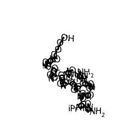 Cc1cn([C@H]2CN(P(=O)(OC[C@@H]3CN(P(=O)(OC[C@@H]4CN(P(=O)(OC[C@@H]5CN(P(=O)(OC[C@@H]6CN(C(C)C)C[C@H](n7ccc(N)nc7=O)O6)N(C)C)C[C@H](C)O5)N(C)C)C[C@H](n5cnc6c(N)ncnc65)O4)N(C)C)C[C@H](C)O3)N(C)C)C[C@@H](COP(=O)(N(C)C)N3C[C@@H](COP(=O)(N(C)C)N4CCN(C(=O)OCCOCCOCCO)CC4)O[C@@H](C)C3)O2)c(=O)[nH]c1=O